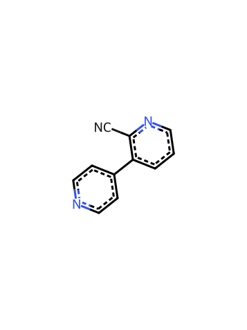 N#Cc1ncccc1-c1ccncc1